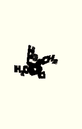 C=Cc1cc(Cl)cc(C)c1C